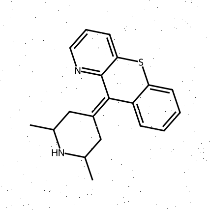 CC1CC(=C2c3ccccc3Sc3cccnc32)CC(C)N1